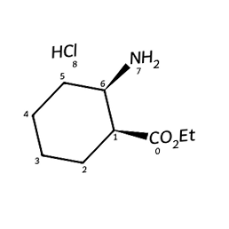 CCOC(=O)[C@H]1CCCC[C@H]1N.Cl